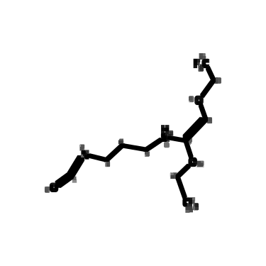 O=C=NCCC[SiH2]C(=COCC(F)(F)F)OCC(F)(F)F